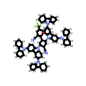 N#Cc1cc(C(F)(F)F)ccc1-c1cc(-n2c3ccc(-n4c5ccccc5c5ccccc54)cc3c3cc(-n4c5ccccc5c5ccccc54)ccc32)c(C#N)cc1-n1c2ccc(-n3c4ccccc4c4ccccc43)cc2c2cc(-n3c4ccccc4c4ccccc43)ccc21